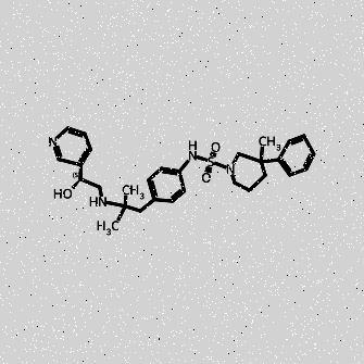 CC(C)(Cc1ccc(NS(=O)(=O)N2CCCC(C)(c3ccccc3)C2)cc1)NC[C@@H](O)c1cccnc1